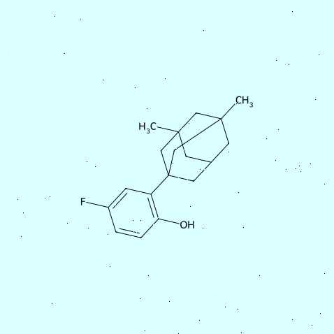 CC12CC3CC(C)(C1)CC(c1cc(F)ccc1O)(C3)C2